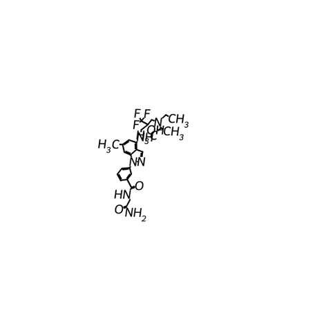 CCN(CC(O)(CNc1cc(C)cc2c1cnn2-c1cccc(C(=O)NCC(N)=O)c1)C(F)(F)F)C(C)C